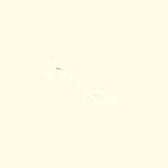 CC(C)=NOCCCCCC(=O)N1CCC(C)CC1